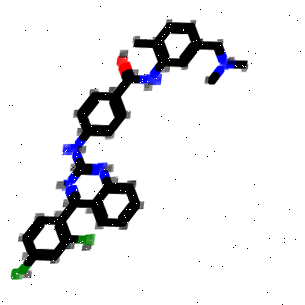 Cc1ccc(CN(C)C)cc1NC(=O)c1ccc(Nc2nc(-c3ccc(Cl)cc3Cl)c3ccccc3n2)cc1